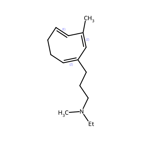 CCN(C)CCCC1=C/CC/C=C/C(C)=C\1